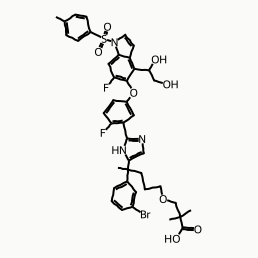 Cc1ccc(S(=O)(=O)n2ccc3c(C(O)CO)c(Oc4ccc(F)c(-c5ncc(C(C)(CCCOCC(C)(C)C(=O)O)c6cccc(Br)c6)[nH]5)c4)c(F)cc32)cc1